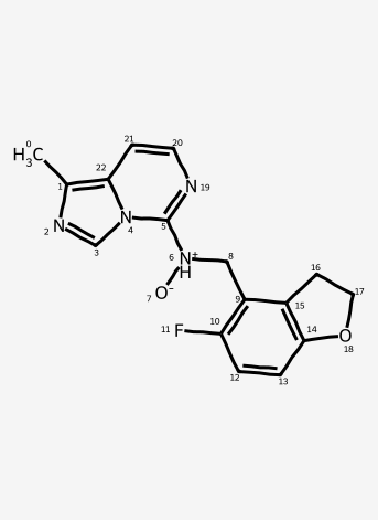 Cc1ncn2c([NH+]([O-])Cc3c(F)ccc4c3CCO4)nccc12